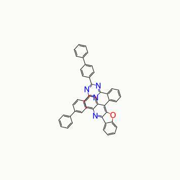 c1ccc(-c2ccc(-c3nc(-c4ccc(-c5ccccc5)cc4)nc(-c4ccccc4-c4c5ccccc5nc5c4oc4ccccc45)n3)cc2)cc1